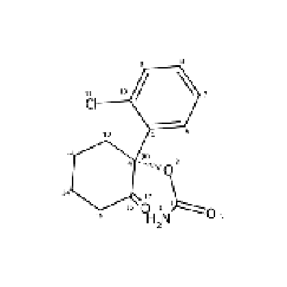 NC(=O)O[C@@]1(c2ccccc2Cl)CCCCC1=O